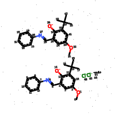 COc1cc(C=Nc2ccccc2)c([O-])c(C(C)(C)C)c1.COc1cc(C=Nc2ccccc2)c([O-])c(C(C)(C)C)c1.[Cl-].[Cl-].[Ti+4]